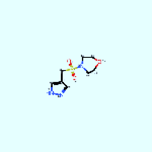 O=S(=O)(Cc1cn[nH]c1)N1CCOCC1